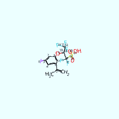 C=C(C)c1cc(I)cc(OC(C(F)(F)F)C(F)(F)S(=O)(=O)O)c1